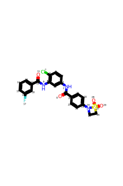 O=C(Nc1ccc(Cl)c(NC(=O)c2cccc(F)c2)c1)c1ccc(N2CCS2(=O)=O)cc1